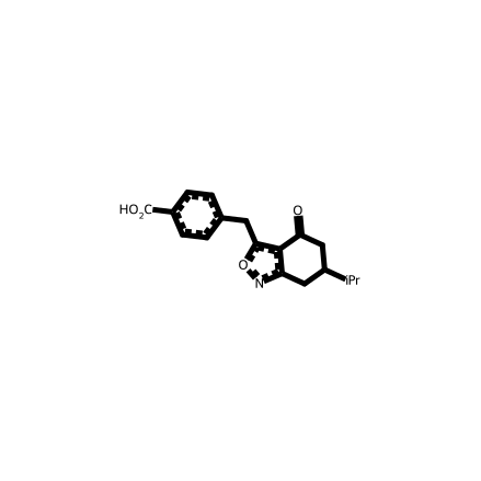 CC(C)C1CC(=O)c2c(noc2Cc2ccc(C(=O)O)cc2)C1